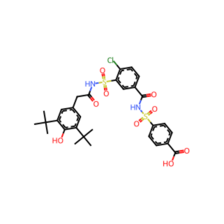 CC(C)(C)c1cc(CC(=O)NS(=O)(=O)c2cc(C(=O)NS(=O)(=O)c3ccc(C(=O)O)cc3)ccc2Cl)cc(C(C)(C)C)c1O